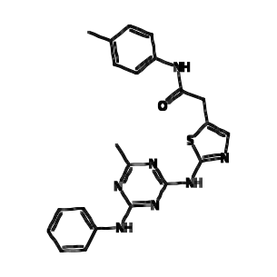 Cc1ccc(NC(=O)Cc2cnc(Nc3nc(C)nc(Nc4ccccc4)n3)s2)cc1